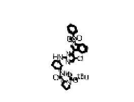 CC(C)(C)OC(=O)N1CCC[C@H]1C(=O)N[C@H]1CCC[C@@H](Nc2ncc(Cl)c(-c3cn(S(=O)(=O)c4ccccc4)c4ccccc34)n2)C1